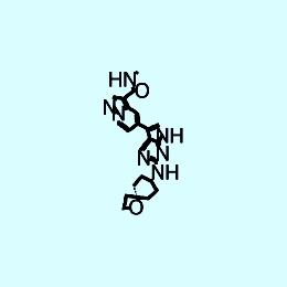 CNC(=O)c1cnn2ccc(-c3c[nH]c4nc(N[C@H]5CC[C@]6(CCO6)CC5)ncc34)cc12